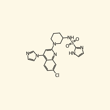 O=S(=O)(NC1CCCN(c2cc(-n3ccnc3)c3ccc(Cl)cc3n2)C1)c1ncc[nH]1